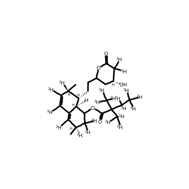 [2H]C1=C([2H])[C@]([2H])(C)[C@H](CCC2C[C@@H](O)C([2H])([2H])C(=O)O2)[C@@H]2C1=C([2H])[C@]([2H])(C)C([2H])([2H])C2OC(=O)C(C([2H])([2H])[2H])(C([2H])([2H])[2H])C([2H])([2H])C([2H])([2H])[2H]